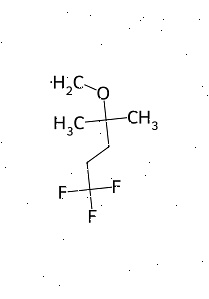 [CH2]OC(C)(C)CCC(F)(F)F